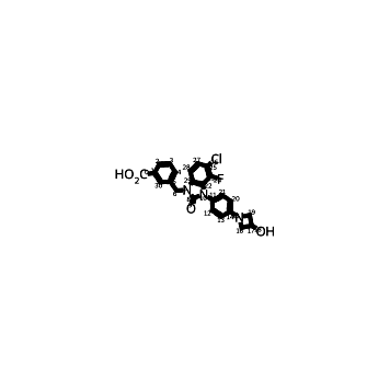 O=C(O)c1cccc(Cn2c(=O)n(-c3ccc(N4CC(O)C4)cc3)c3c(F)c(Cl)ccc32)c1